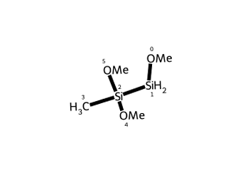 CO[SiH2][Si](C)(OC)OC